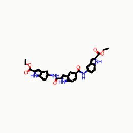 CCOC(=O)c1cc2cc(NC(=O)c3ccc4[nH]c(C(=O)Nc5ccc6[nH]c(C(=O)OCC)cc6c5)cc4c3)ccc2[nH]1